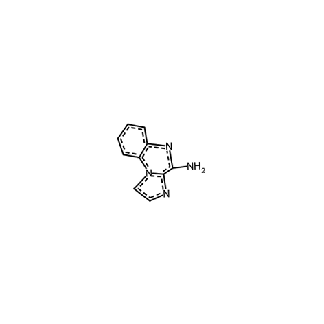 Nc1nc2ccccc2n2ccnc12